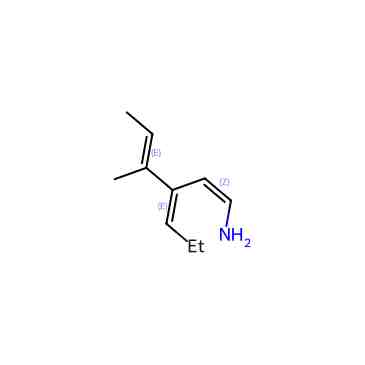 C/C=C(C)/C(/C=C\N)=C/CC